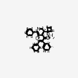 NC1(c2cnc(-c3ccccc3)c3oc(-c4ccccc4)c(-c4ccccc4)c(=O)c23)CCC1